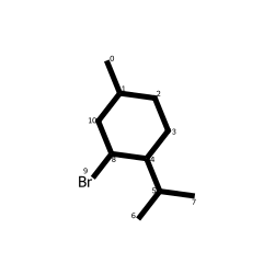 CC1CCC(C(C)C)[C](Br)C1